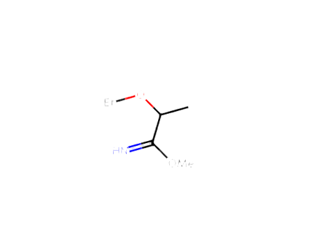 CCOC(C)C(=N)OC